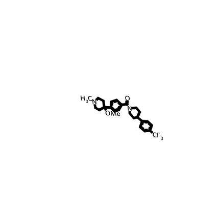 COC1(c2ccc(C(=O)N3CCC(c4ccc(C(F)(F)F)cc4)CC3)cc2)CCN(C)CC1